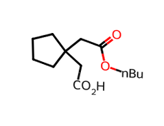 CCCCOC(=O)CC1(CC(=O)O)CCCC1